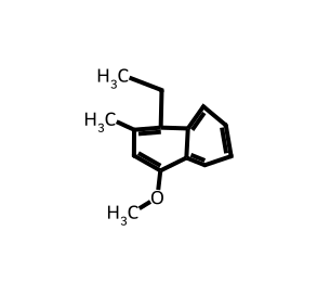 CCc1c(C)cc(OC)c2ccccc12